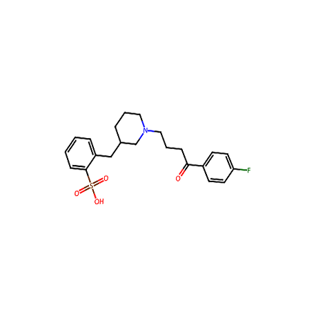 O=C(CCCN1CCCC(Cc2ccccc2S(=O)(=O)O)C1)c1ccc(F)cc1